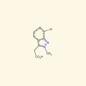 Cn1nc2c(Br)cccc2c1CC(=O)O